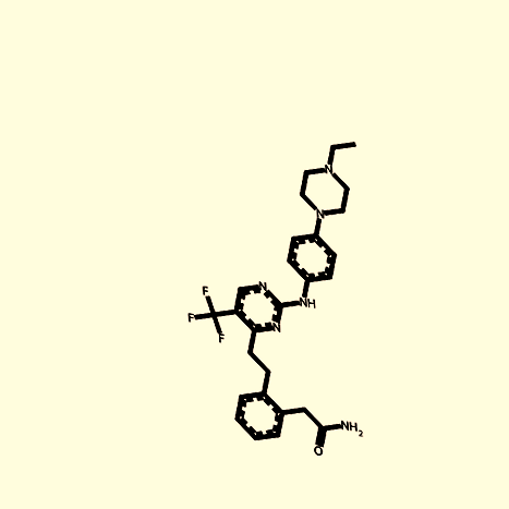 CCN1CCN(c2ccc(Nc3ncc(C(F)(F)F)c(CCc4ccccc4CC(N)=O)n3)cc2)CC1